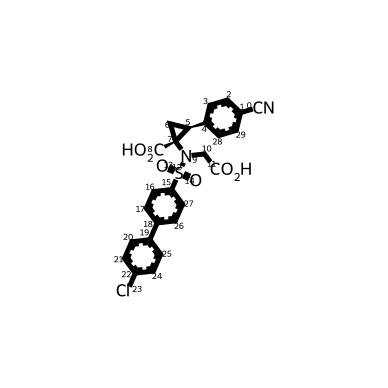 N#Cc1ccc([C@@H]2C[C@@]2(C(=O)O)N(CC(=O)O)S(=O)(=O)c2ccc(-c3ccc(Cl)cc3)cc2)cc1